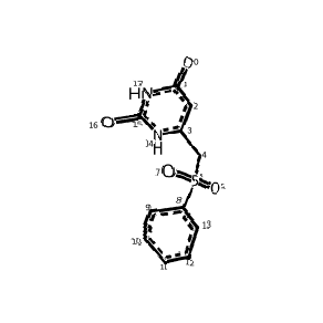 O=c1cc(CS(=O)(=O)c2ccccc2)[nH]c(=O)[nH]1